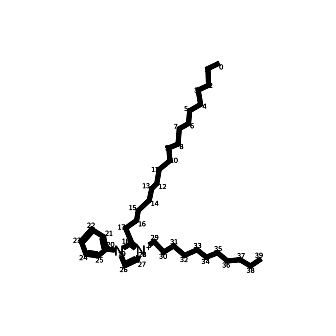 CCCCCCCCCCCCCCCCCCc1n(-c2ccccc2)cc[n+]1CCCCCCCCCCC